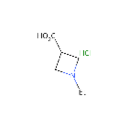 CCN1CC(C(=O)O)C1.Cl